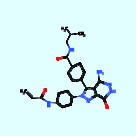 C=CC(=O)Nc1ccc(-n2nc3c(=O)[nH]nc(N)c3c2-c2ccc(C(=O)NCC(C)C)cc2)cc1